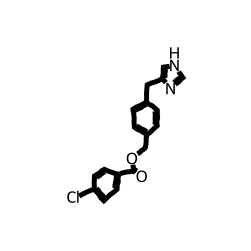 O=C(OCc1ccc(Cc2c[nH]cn2)cc1)c1ccc(Cl)cc1